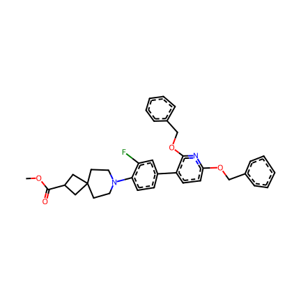 COC(=O)C1CC2(CCN(c3ccc(-c4ccc(OCc5ccccc5)nc4OCc4ccccc4)cc3F)CC2)C1